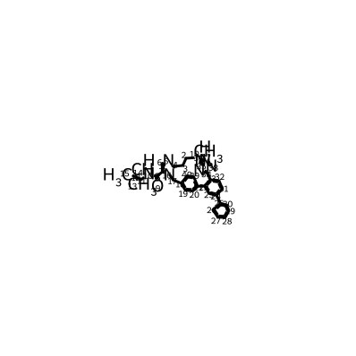 CCCCc1ncc(C(=O)NCC(C)(C)C)n1Cc1ccc(-c2cc(-c3ccccc3)ccc2-c2nn[nH]n2)cc1